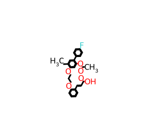 CCc1cc(-c2ccc(F)cc2)c(OC(C)=O)cc1OCCCOc1ccccc1/C=C/C(=O)O